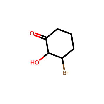 O=C1CCCC(Br)C1O